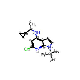 CC(C)[Si](C(C)C)(C(C)C)n1ccc2c(N[C@@H](C)C3CC3)cc(Cl)nc21